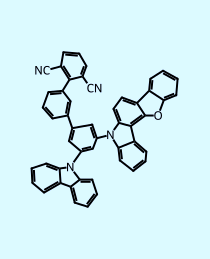 N#Cc1cccc(C#N)c1-c1cccc(-c2cc(-n3c4ccccc4c4ccccc43)cc(-n3c4ccccc4c4c5oc6ccccc6c5ccc43)c2)c1